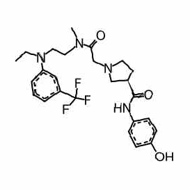 CCN(CCN(C)C(=O)CN1CC[C@@H](C(=O)Nc2ccc(O)cc2)C1)c1cccc(C(F)(F)F)c1